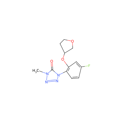 Cn1nnn(-c2ccc(F)cc2OC2CCOC2)c1=O